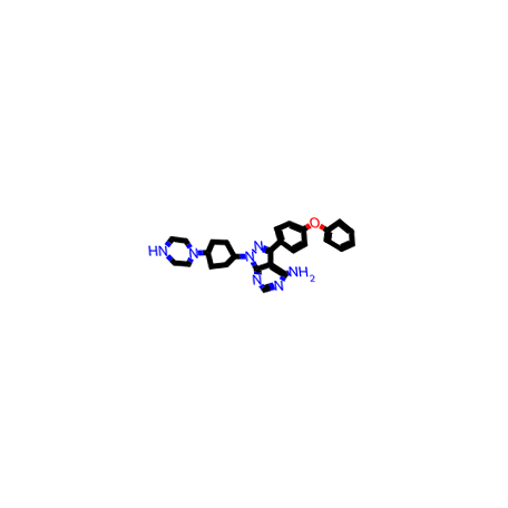 Nc1ncnc2c1c(-c1ccc(Oc3ccccc3)cc1)nn2C1CCC(N2CCNCC2)CC1